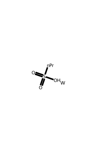 CCCS(=O)(=O)O.[W]